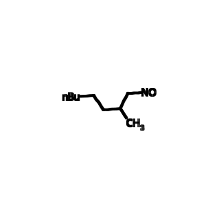 CCCCCCC(C)CN=O